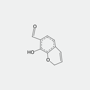 O=Cc1ccc2c(c1O)OCC=C2